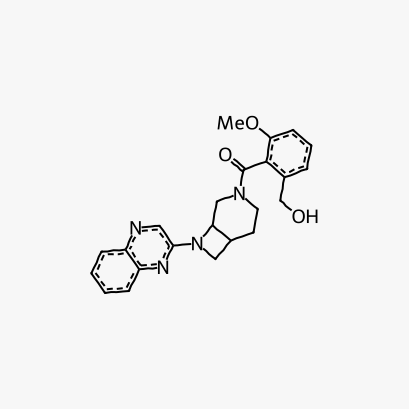 COc1cccc(CO)c1C(=O)N1CCC2CN(c3cnc4ccccc4n3)C2C1